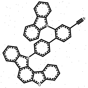 N#Cc1ccc(-c2ccc(-n3c4ccccc4c4ccc5oc6ccccc6c5c43)cc2)c(-n2c3ccccc3c3ccccc32)c1